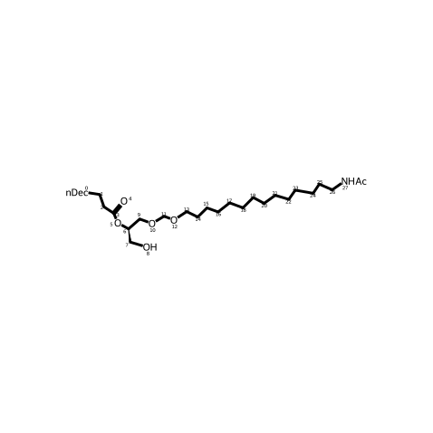 CCCCCCCCCCCCC(=O)O[C@H](CO)COCOCCCCCCCCCCCCCCNC(C)=O